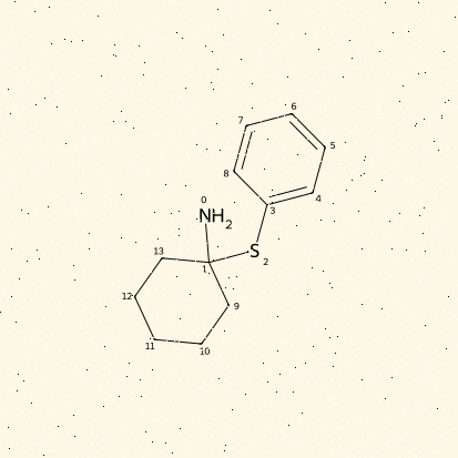 NC1(Sc2ccccc2)CCCCC1